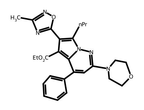 CCCc1c(-c2nc(C)no2)c(C(=O)OCC)c2c(-c3ccccc3)cc(N3CCOCC3)nn12